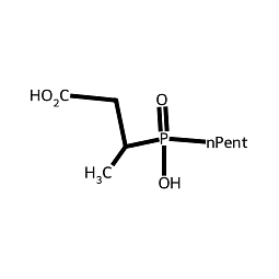 CCCCCP(=O)(O)C(C)CC(=O)O